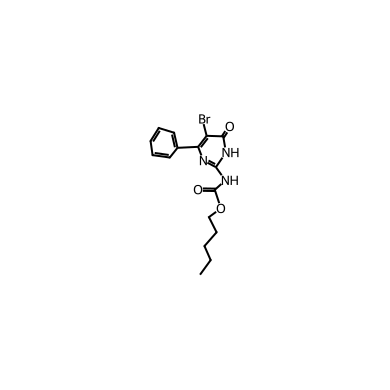 CCCCCOC(=O)Nc1nc(-c2ccccc2)c(Br)c(=O)[nH]1